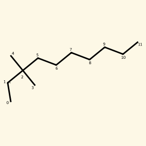 C[CH]C(C)(C)CCCCCCC